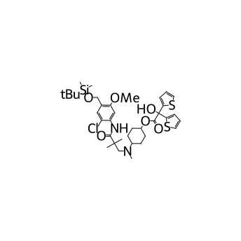 COc1cc(NC(=O)C(C)(C)CN(C)C2CCC(OC(=O)C(O)(c3cccs3)c3cccs3)CC2)c(Cl)cc1CO[Si](C)(C)C(C)(C)C